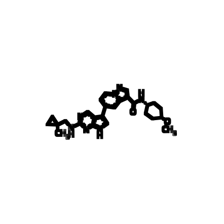 CO[C@H]1CC[C@H](NC(=O)c2cnn3ccc(-c4c[nH]c5nc(NCC6(C)CC6)ncc45)cc23)CC1